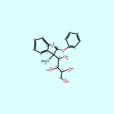 C=C(Oc1ccccc1)C(OC)(c1ccccc1)C(O)C(O)C(O)CO